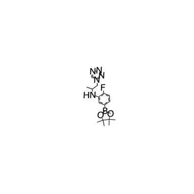 CC(Cn1cnnn1)Nc1cc(B2OC(C)(C)C(C)(C)O2)ccc1F